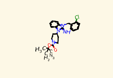 CC(C)(C)OC(=O)N1CCC(n2c(=N)n(Cc3ccccc3Cl)c3ccccc32)CC1